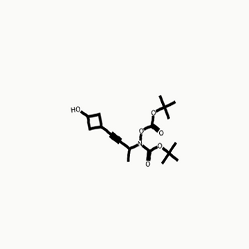 CC(C#CC1CC(O)C1)N(OC(=O)OC(C)(C)C)C(=O)OC(C)(C)C